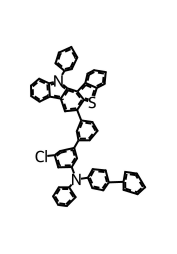 Clc1cc(-c2cccc(-c3cc4c5ccccc5n(-c5ccccc5)c4c4c3sc3ccccc34)c2)cc(N(c2ccccc2)c2ccc(-c3ccccc3)cc2)c1